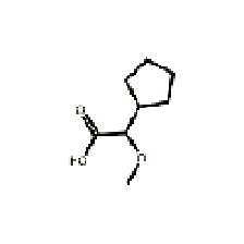 COC(C(=O)O)C1CCCC1